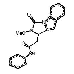 CON1C(=O)n2c(cc3ccccc32)C1CC(=O)Nc1ccccc1